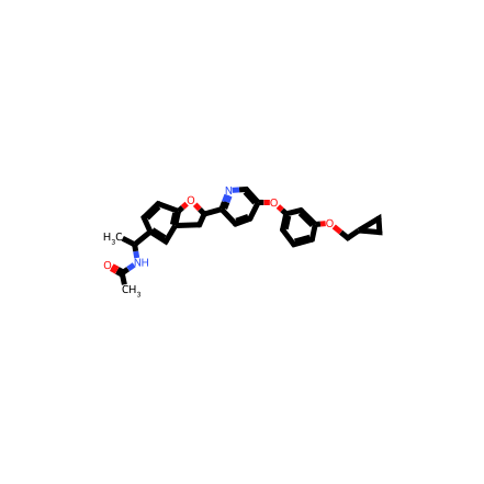 CC(=O)NC(C)c1ccc2c(c1)CC(c1ccc(Oc3cccc(OCC4CC4)c3)cn1)O2